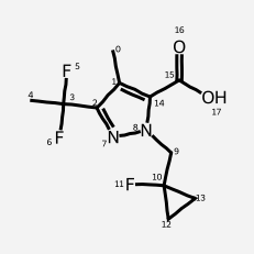 Cc1c(C(C)(F)F)nn(CC2(F)CC2)c1C(=O)O